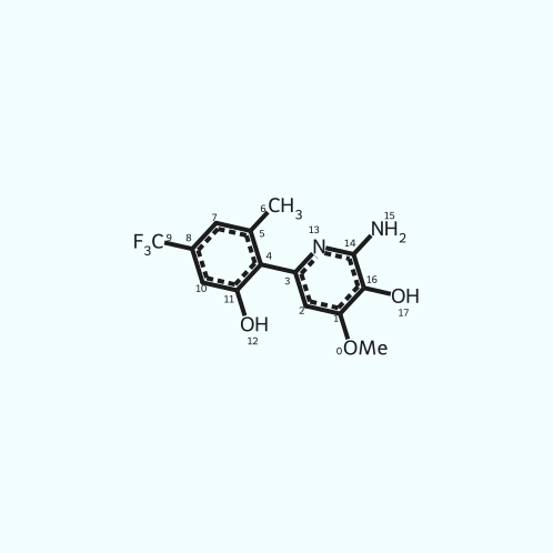 COc1cc(-c2c(C)cc(C(F)(F)F)cc2O)nc(N)c1O